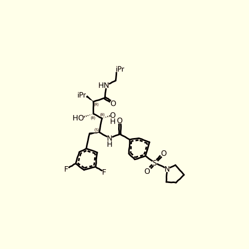 CC(C)CNC(=O)[C@H](C(C)C)[C@@H](O)[C@H](O)[C@H](Cc1cc(F)cc(F)c1)NC(=O)c1ccc(S(=O)(=O)N2CCCC2)cc1